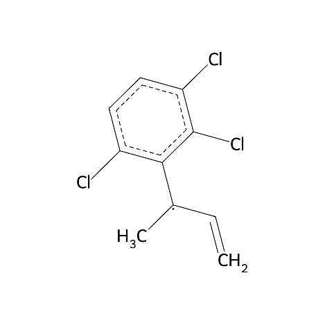 C=C[C](C)c1c(Cl)ccc(Cl)c1Cl